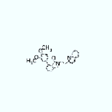 COc1ccc(-c2cccc3c2C(=O)N(CCc2ccc4ccccc4n2)C3)cc1OC